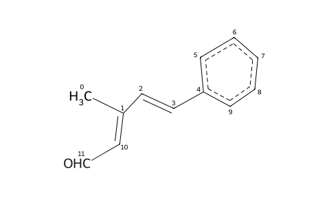 CC(C=Cc1ccccc1)=CC=O